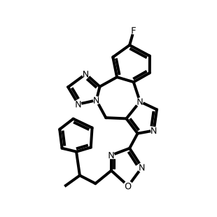 CC(Cc1nc(-c2ncn3c2Cn2ncnc2-c2cc(F)ccc2-3)no1)c1ccccc1